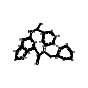 CC(Nc1nc(C(=O)NCc2ccccn2)c2sccc2n1)c1cccnc1